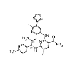 Cc1ncc(Nc2nc(N[C@H](c3ccc(C(F)(F)F)cc3)[C@H](C)N)c(F)cc2C(N)=O)cc1-n1nccn1